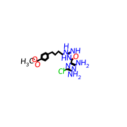 COC(=O)c1ccc(CCCCNC(=N)NC(=O)c2nc(Cl)c(N)nc2N)cc1